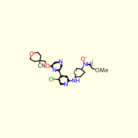 COC[C@@H](C)[NH+]([O-])C1CCC(Nc2cc(-c3cncc(OCC4(C#N)CCOCC4)n3)c(Cl)cn2)CC1